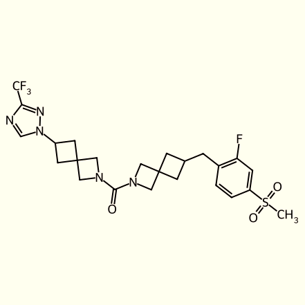 CS(=O)(=O)c1ccc(CC2CC3(C2)CN(C(=O)N2CC4(CC(n5cnc(C(F)(F)F)n5)C4)C2)C3)c(F)c1